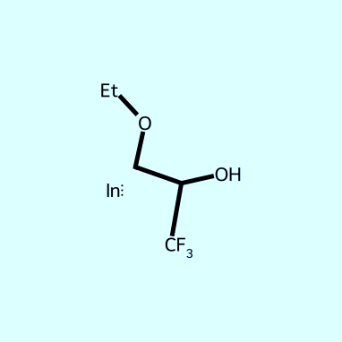 CCOCC(O)C(F)(F)F.[In]